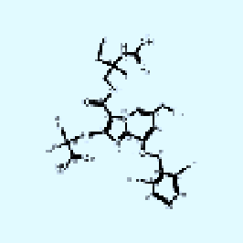 CCC(C)(CNC(=O)c1c(C)nc2c(OCc3c(F)cccc3F)cc(CF)cn12)NC(=O)O.O=C(O)C(F)(F)F